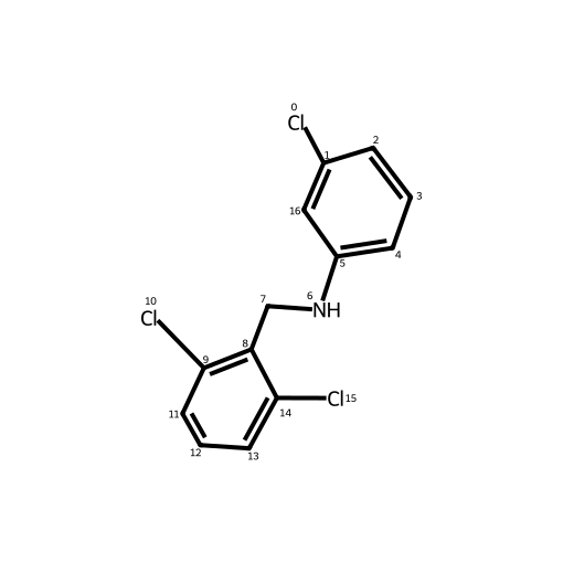 Clc1cccc(NCc2c(Cl)cccc2Cl)c1